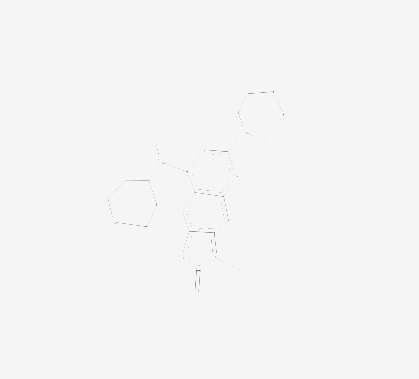 CCOC(=O)C1CCN(c2nc(N(C)C3CCNCC3)c3cc4[nH]c(=S)n(CC)c4cc3n2)CC1